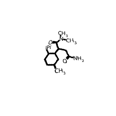 CC1CCC(C(C)C)C(C(CC(N)=O)C(=O)N(C)C)C1